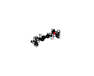 COC(=O)N[C@H](C(=O)N1C[Si](C)(C)C[C@H]1c1nc2ccc3cc(-c4ccc(-c5[nH]c([C@@H]6C[C@H]7C[C@H]7N6C(=O)[C@@H](NC(=O)OC)C6CCOCC6)nc5Cl)cc4)ccc3c2[nH]1)C1CCOCC1